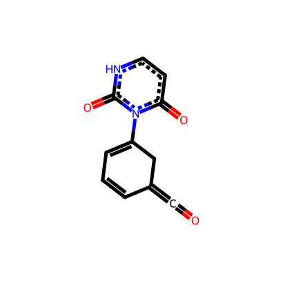 O=C=C1C=CC=C(n2c(=O)cc[nH]c2=O)C1